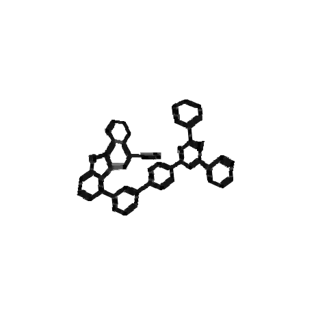 N#Cc1cc2c(oc3cccc(-c4cccc(-c5ccc(-c6cc(-c7ccccc7)nc(-c7ccccc7)n6)cc5)c4)c32)c2c1CCC=C2